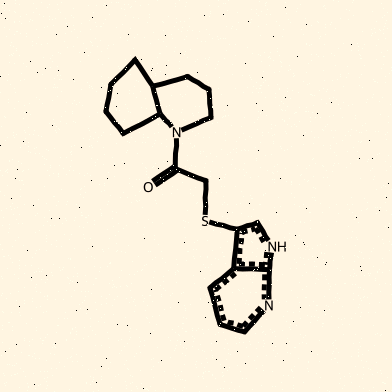 O=C(CSc1c[nH]c2ncccc12)N1CCCC2CCCCC21